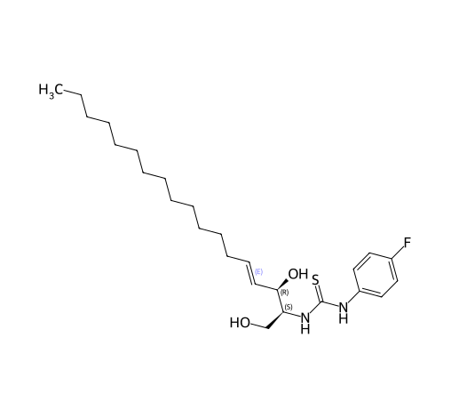 CCCCCCCCCCCCC/C=C/[C@@H](O)[C@H](CO)NC(=S)Nc1ccc(F)cc1